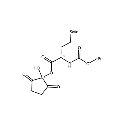 CSCC[C@H](NC(=O)OC(C)(C)C)C(=O)O[N+]1(O)C(=O)CCC1=O